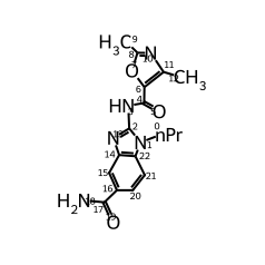 CCCn1c(NC(=O)c2oc(C)nc2C)nc2cc(C(N)=O)ccc21